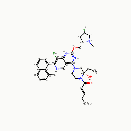 COC/C=C/C(=O)N1CCN(c2nc(OC[C@@H]3C[C@@H](F)CN3C)nc3c(F)c(-c4cccc5cccc(C)c45)ncc23)C[C@@]1(O)CC#N